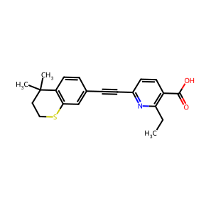 CCc1nc(C#Cc2ccc3c(c2)SCCC3(C)C)ccc1C(=O)O